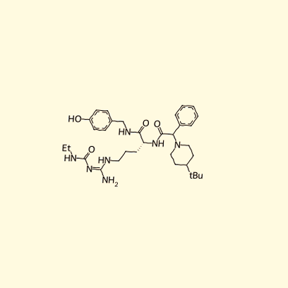 CCNC(=O)/N=C(/N)NCCC[C@@H](NC(=O)C(c1ccccc1)N1CCC(C(C)(C)C)CC1)C(=O)NCc1ccc(O)cc1